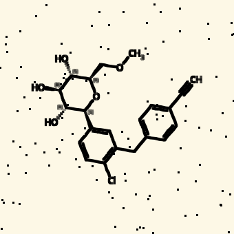 C#Cc1ccc(Cc2cc([C@@H]3O[C@H](COC)[C@@H](O)[C@H](O)[C@H]3O)ccc2Cl)cc1